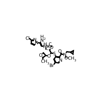 CO[C@@H](CN/C=C(\N)n1ccc(Cl)n1)C(OC1COC1C)Sc1cc(Br)cnc1C(=O)N(CC1CC1)OC